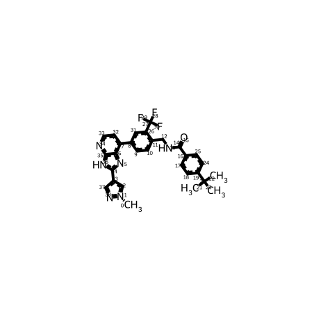 Cn1cc(-c2nc3c(-c4ccc(CNC(=O)c5ccc(C(C)(C)C)cc5)c(C(F)(F)F)c4)ccnc3[nH]2)cn1